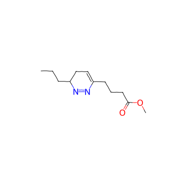 CCCC1CC=C(CCCC(=O)OC)N=N1